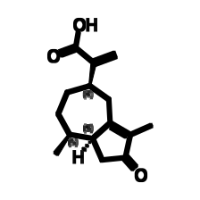 C=C(C(=O)O)[C@@H]1CC[C@H](C)[C@@H]2CC(=O)C(C)=C2C1